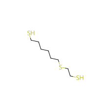 SCCCCCCSCCS